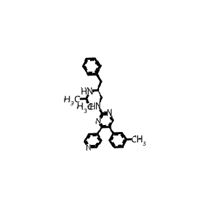 Cc1cccc(-c2cnc(NC[C@H](Cc3ccccc3)NC(C)C)nc2-c2ccncc2)c1